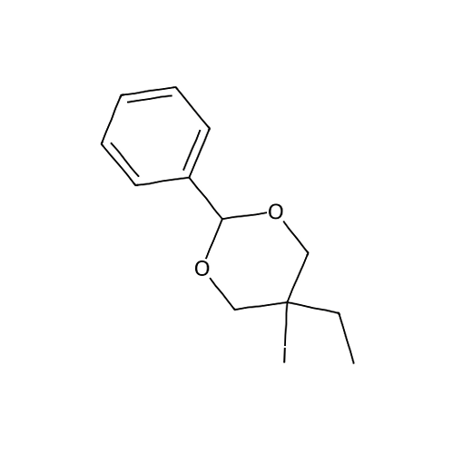 CCC1(I)COC(c2ccccc2)OC1